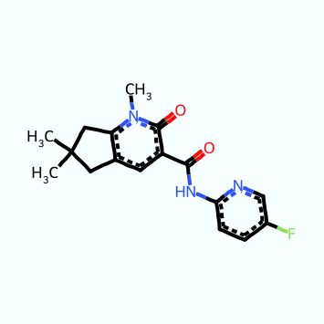 Cn1c2c(cc(C(=O)Nc3ccc(F)cn3)c1=O)CC(C)(C)C2